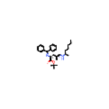 CCCCCC(C)N/C=C(\C)C[C@H](N=C(c1ccccc1)c1ccccc1)C(=O)OC(C)(C)C